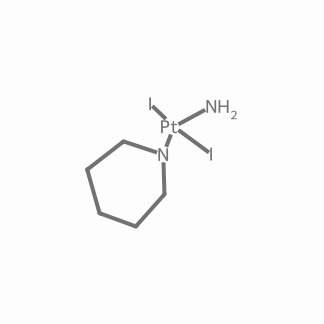 [NH2][Pt]([I])([I])[N]1CCCCC1